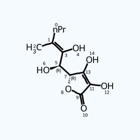 CCCC(C)=C(O)[C@H](O)[C@H]1OC(=O)C(O)=C1O